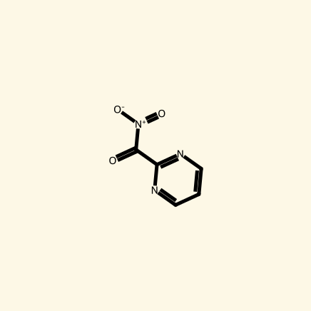 O=C(c1ncccn1)[N+](=O)[O-]